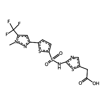 Cn1nc(-c2ccc(S(=O)(=O)Nc3ncc(CC(=O)O)s3)s2)cc1C(F)(F)F